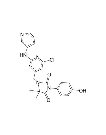 CC1(C)C(=O)N(c2ccc(O)cc2)C(=O)N1Cc1cc(Cl)nc(Nc2cccnc2)c1